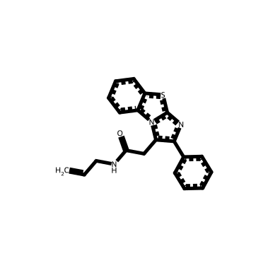 C=CCNC(=O)Cc1c(-c2ccccc2)nc2sc3ccccc3n12